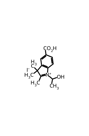 CC1=[N+](C(C)O)c2ccc(C(=O)O)cc2C1(C)C.[I-]